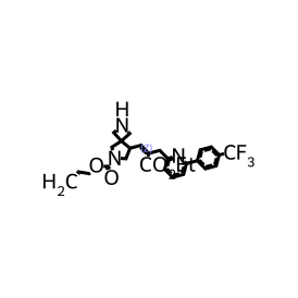 C=CCOC(=O)N1CC(/C=C(/Cc2cccc(-c3ccc(C(F)(F)F)cc3)n2)C(=O)OCC)C2(CNC2)C1